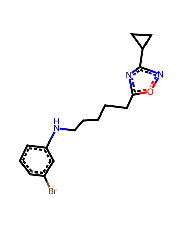 Brc1cccc(NCCCCCc2nc(C3CC3)no2)c1